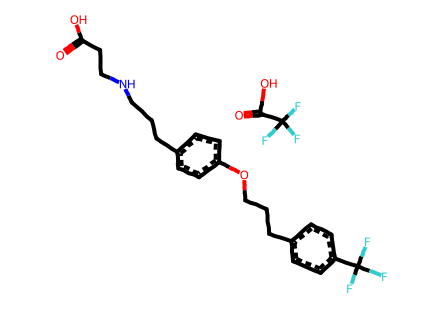 O=C(O)C(F)(F)F.O=C(O)CCNCCCc1ccc(OCCCc2ccc(C(F)(F)F)cc2)cc1